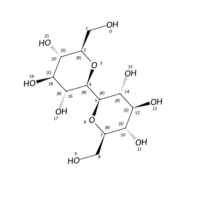 OC[C@H]1O[C@@H]([C@@H]2O[C@H](CO)[C@@H](O)[C@H](O)[C@H]2O)[C@H](O)[C@@H](O)[C@@H]1O